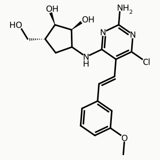 COc1cccc(/C=C/c2c(Cl)nc(N)nc2NC2C[C@H](CO)[C@@H](O)[C@H]2O)c1